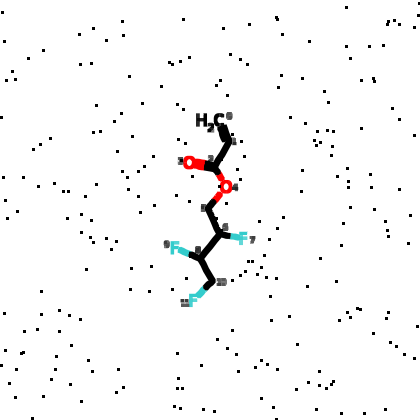 C=CC(=O)OCC(F)C(F)CF